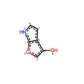 Oc1coc2[nH]ccc12